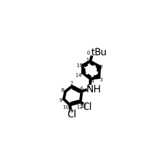 CC(C)(C)c1ccc(NC2=CCCC(Cl)=C2Cl)cc1